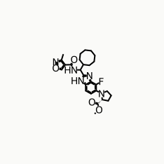 COC(=O)[C@H]1CCCN1c1ccc2[nH]c(C(NC(=O)c3conc3C)C3CCCCCCC3)nc2c1F